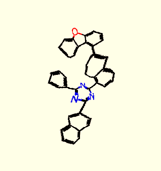 c1ccc(-c2nc(-c3ccc4ccccc4c3)nc(-c3cccc4cc(-c5cccc6oc7ccccc7c56)ccc34)n2)cc1